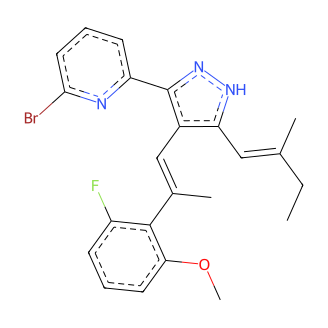 CC/C(C)=C/c1[nH]nc(-c2cccc(Br)n2)c1/C=C(\C)c1c(F)cccc1OC